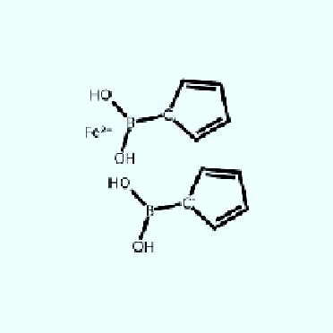 OB(O)[c-]1cccc1.OB(O)[c-]1cccc1.[Fe+2]